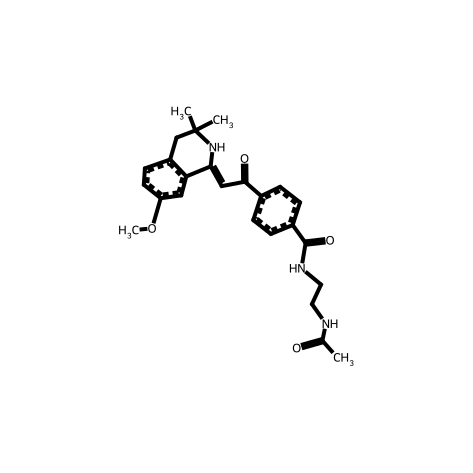 COc1ccc2c(c1)C(=CC(=O)c1ccc(C(=O)NCCNC(C)=O)cc1)NC(C)(C)C2